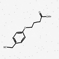 COC(=O)CCCOc1ccc(CC#N)cc1